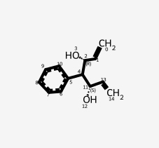 C=C[C@@H](O)C(c1ccccc1)[C@@H](O)C=C